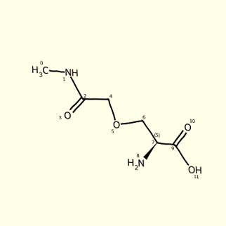 CNC(=O)COC[C@H](N)C(=O)O